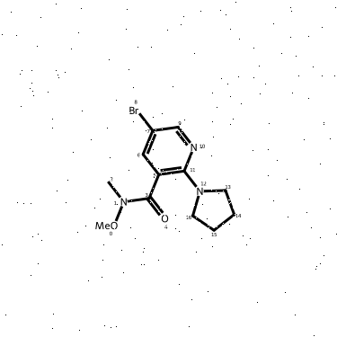 CON(C)C(=O)c1cc(Br)cnc1N1CCCC1